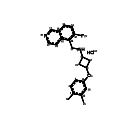 Cc1ccc(OC2CC(NCc3c(F)ccc4cnccc34)C2)cc1C.Cl